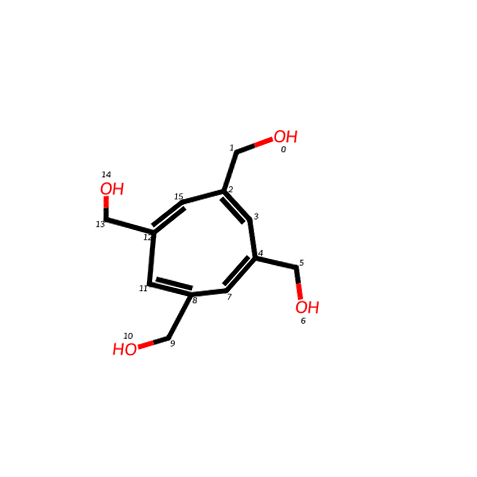 OCC1=C/C(CO)=C\C(CO)=C/C(CO)=C\1